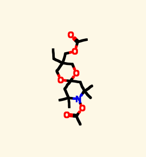 CCC1(COC(C)=O)COC2(CC(C)(C)N(OC(C)=O)C(C)(C)C2)OC1